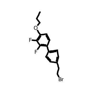 CCCOc1ccc(-c2ccc(CCBr)cc2)c(F)c1F